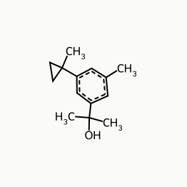 Cc1cc(C(C)(C)O)cc(C2(C)CC2)c1